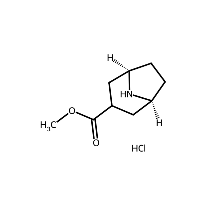 COC(=O)C1C[C@H]2CC[C@@H](C1)N2.Cl